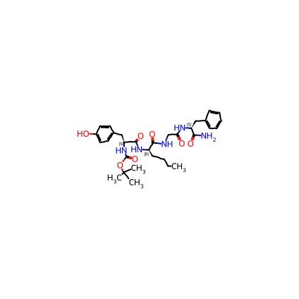 CCCC[C@@H](NC(=O)[C@H](Cc1ccc(O)cc1)NC(=O)OC(C)(C)C)C(=O)NCC(=O)N[C@@H](Cc1ccccc1)C(N)=O